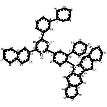 c1ccc(-c2cccc(-c3cc(-c4ccc5ccccc5c4)nc(-c4ccc(-n5c6cc7ccccc7cc6c6cc7ccccc7cc65)c(-c5ccccc5)c4)n3)c2)cc1